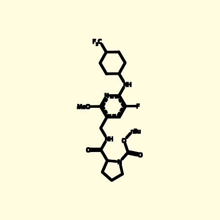 CCCCOC(=O)N1CCCC1C(=O)NCc1cc(F)c(NC2CCC(C(F)(F)F)CC2)nc1OC